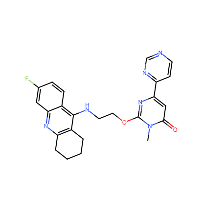 Cn1c(OCCNc2c3c(nc4cc(F)ccc24)CCCC3)nc(-c2ccncn2)cc1=O